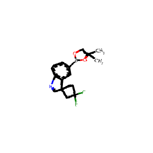 CC1(C)COB(c2ccc3c(c2)C2(C=N3)CC(F)(F)C2)O1